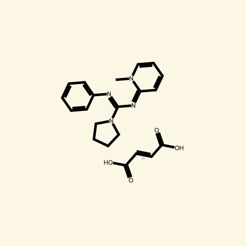 Cn1ccccc1=NC(=Nc1ccccc1)N1CCCC1.O=C(O)/C=C/C(=O)O